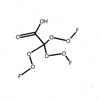 O=C(O)C(OOF)(OOF)OOF